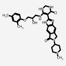 Cc1ccc(OC[C@H](O)CNC2=C(c3nc4cc5c(cc4[nH]3)C(=O)N(C3CCN(C)CC3)C5)C(Cl)NCN2)c(C)c1